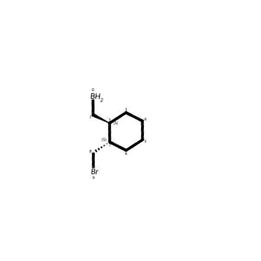 BC[C@H]1CCCC[C@@H]1CBr